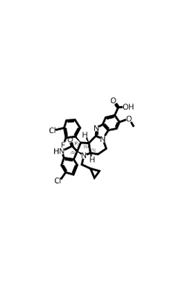 COc1cc2c(cc1C(=O)O)nc1n2CC[C@H]2[C@@H]1[C@H](c1cccc(Cl)c1F)[C@]1(C(=O)Nc3cc(Cl)ccc31)N2CC1CC1